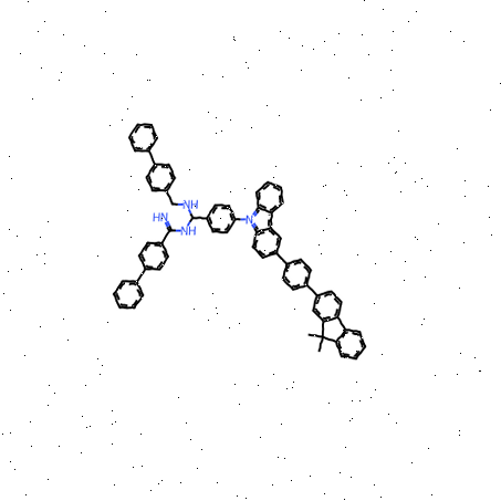 CC1(C)c2ccccc2-c2ccc(-c3ccc(-c4ccc5c(c4)c4ccccc4n5-c4ccc(C(NCc5ccc(-c6ccccc6)cc5)NC(=N)c5ccc(-c6ccccc6)cc5)cc4)cc3)cc21